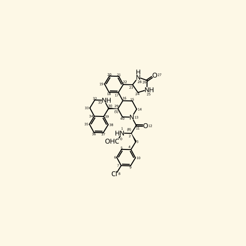 O=CN[C@H](Cc1ccc(Cl)cc1)C(=O)N1CCC(c2ccccc2C2CNC(=O)N2)[C@H](C2NCCc3ccccc32)C1